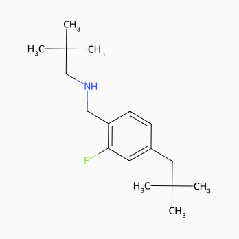 CC(C)(C)CNCc1ccc(CC(C)(C)C)cc1F